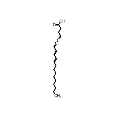 CCCCCCCCC/C=C/C=C/C=C=C=CCCC(=O)O